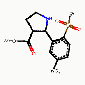 COC(=O)C1CCNC1c1cc([N+](=O)[O-])ccc1S(=O)(=O)C(C)C